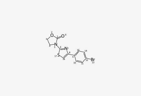 O=C1OCCN1c1nc(-c2ccc(Br)cc2)cs1